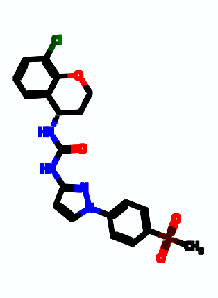 CS(=O)(=O)c1ccc(-n2ccc(NC(=O)N[C@H]3CCOc4c(Cl)cccc43)n2)cc1